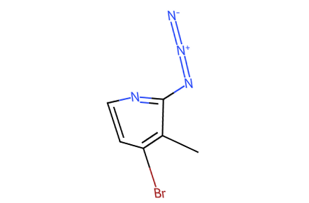 Cc1c(Br)ccnc1N=[N+]=[N-]